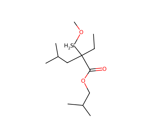 CCC(CC(C)C)([SiH2]OC)C(=O)OCC(C)C